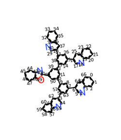 c1ccc2ncc(-c3cc(-c4cc(-c5cc(-c6cnc7ccccc7c6)cc(-c6cnc7ccccc7c6)c5)cc(-c5nc6ccccc6o5)c4)cc(-c4cnc5ccccc5c4)c3)cc2c1